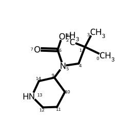 CC(C)(C)CN(C(=O)O)C1CCCNC1